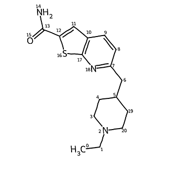 CCN1CCC(Cc2ccc3cc(C(N)=O)sc3n2)CC1